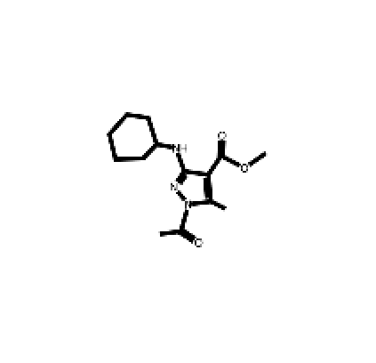 COC(=O)c1c(NC2CCCCC2)nn(C(C)=O)c1C